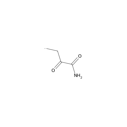 [CH2]CC(=O)C(N)=O